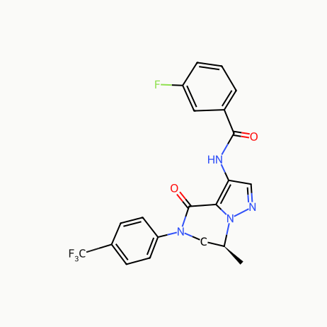 C[C@H]1CN(c2ccc(C(F)(F)F)cc2)C(=O)c2c(NC(=O)c3cccc(F)c3)cnn21